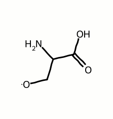 NC(C[O])C(=O)O